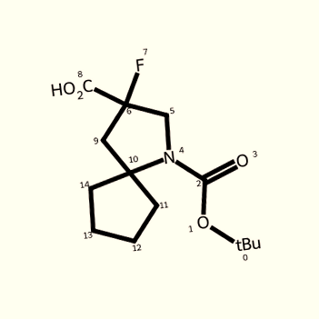 CC(C)(C)OC(=O)N1CC(F)(C(=O)O)CC12CCCC2